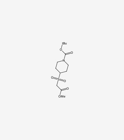 COC(=O)CS(=O)(=O)C1CCN(C(=O)OC(C)(C)C)CC1